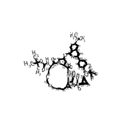 CN(C)c1ccc2c(OC3C[C@H]4C(=O)N[C@]5(C(=O)NS(=O)(=O)C6CC6)CC5/C=C\COCCC[C@H](NC(=O)OC(C)(C)C)C(=O)N4C3)nc(-c3ccc(OC(F)(F)F)cc3)cc2c1